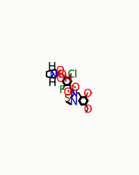 COc1ccc(CN(c2nccs2)S(=O)(=O)c2cc(Cl)c(O[C@@H]3C[C@H]4CC[C@@H](C3)N4C(=O)O)cc2F)c(OC)c1